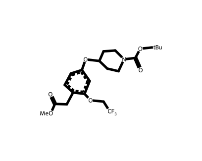 COC(=O)Cc1ccc(OC2CCN(C(=O)OC(C)(C)C)CC2)cc1OCC(F)(F)F